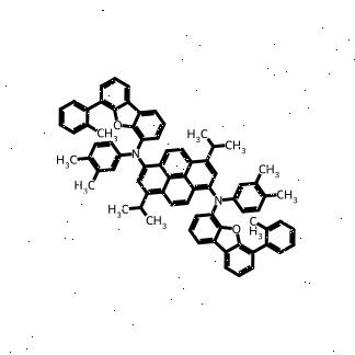 Cc1ccc(N(c2cc(C(C)C)c3ccc4c(N(c5ccc(C)c(C)c5)c5cccc6c5oc5c(-c7ccccc7C)cccc56)cc(C(C)C)c5ccc2c3c54)c2cccc3c2oc2c(-c4ccccc4C)cccc23)cc1C